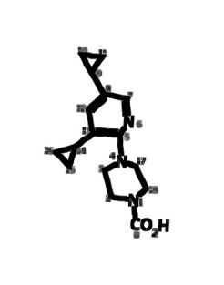 O=C(O)N1CCN(c2ncc(C3CC3)cc2C2CC2)CC1